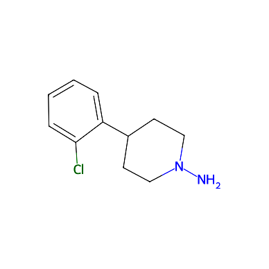 NN1CCC(c2ccccc2Cl)CC1